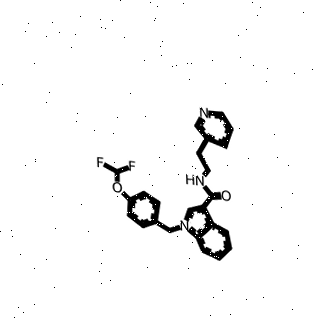 O=C(NCCc1cccnc1)c1cn(Cc2ccc(OC(F)F)cc2)c2ccccc12